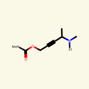 CCN(C)C(C)C#CCOC(=O)NC